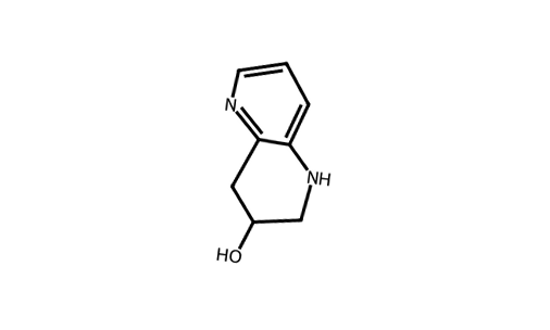 OC1CNc2cccnc2C1